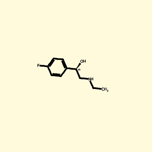 CCNC[C@H](O)c1ccc(F)cc1